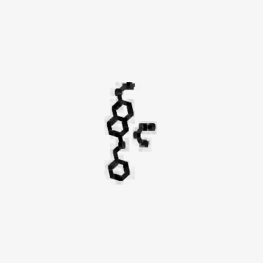 CC(C)OC=O.CCCOc1ccc2cc(OCc3ccccc3)ccc2c1